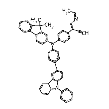 C#C/C(=C\N=C/C)c1ccc(N(c2ccc(-c3ccc4c(c3)C3C=CC=CC3N4c3ccccc3)cc2)c2ccc3c(c2)C(C)(C)c2ccccc2-3)cc1